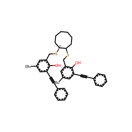 CC(C)(C)c1cc(C#Cc2ccccc2)c(O)c(CSC2CCCCCC[C@@H]2SCc2cc(C(C)(C)C)cc(C#Cc3ccccc3)c2O)c1